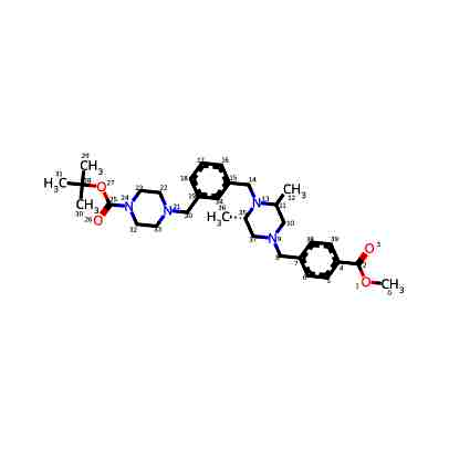 COC(=O)c1ccc(CN2CC(C)N(Cc3cccc(CN4CCN(C(=O)OC(C)(C)C)CC4)c3)[C@@H](C)C2)cc1